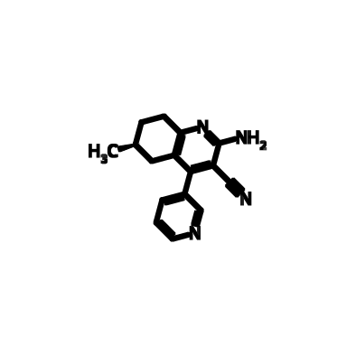 C[C@H]1CCc2nc(N)c(C#N)c(-c3cccnc3)c2C1